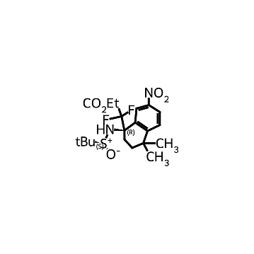 CCOC(=O)C(F)(F)[C@@]1(N[S@+]([O-])C(C)(C)C)CCC(C)(C)c2ccc([N+](=O)[O-])cc21